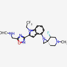 CN1CC[C@@]2(CN2c2cccc3c2cc(-c2noc(CNC=O)n2)n3CC(F)(F)F)[C@@H](F)C1